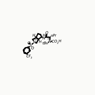 CCC[C@@H](C(=O)N[C@@H]1CC[C@H]2CN(S(=O)(=O)c3cccc(C(F)(F)F)c3)C[C@H]21)N(C(=O)O)C(C)(C)C